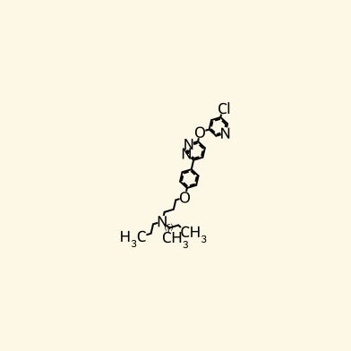 CCCN(CCCOc1ccc(-c2ccc(Oc3cncc(Cl)c3)nn2)cc1)[C@@H](C)CC